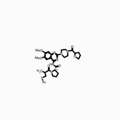 COc1cc2nc(N3CCN(C(=O)C4CCCO4)CC3)nc(NC(=O)[C@@H]3CCCN3C(=O)C(C)CSC(C)=O)c2cc1OC